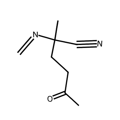 C=NC(C)(C#N)CCC(C)=O